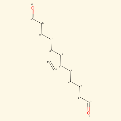 C=C.O=CCCCCCCCCCCC=O